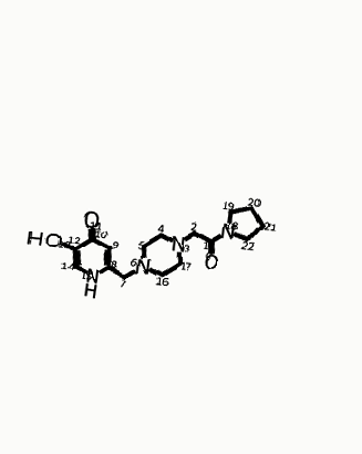 O=C(CN1CCN(Cc2cc(=O)c(O)c[nH]2)CC1)N1CCCC1